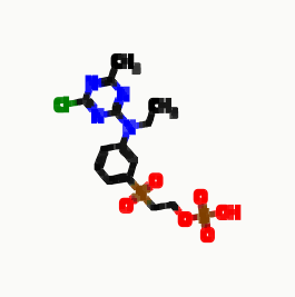 CCN(c1cccc(S(=O)(=O)CCOS(=O)(=O)O)c1)c1nc(C)nc(Cl)n1